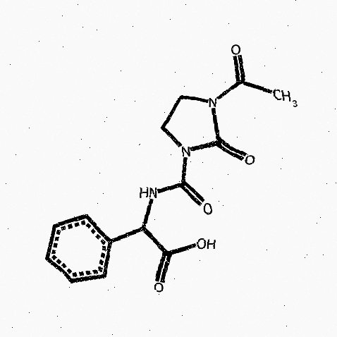 CC(=O)N1CCN(C(=O)NC(C(=O)O)c2ccccc2)C1=O